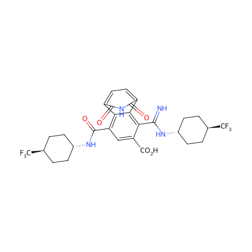 N=C(N[C@H]1CC[C@H](C(F)(F)F)CC1)c1c(C(=O)O)cc(C(=O)N[C@H]2CC[C@H](C(F)(F)F)CC2)c2c3ccc(c(=O)[nH]c3=O)c12